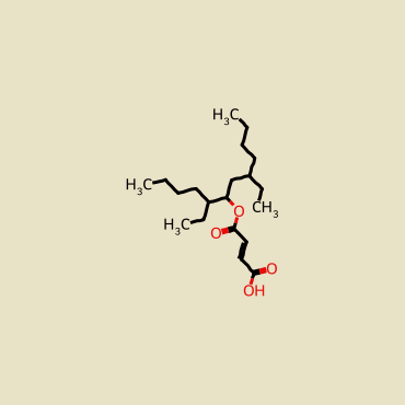 CCCCC(CC)CC(OC(=O)C=CC(=O)O)C(CC)CCCC